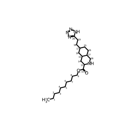 CCCCCCCCCCOC(=O)C1CC2CC(CCc3nnn[nH]3)CCC2CN1